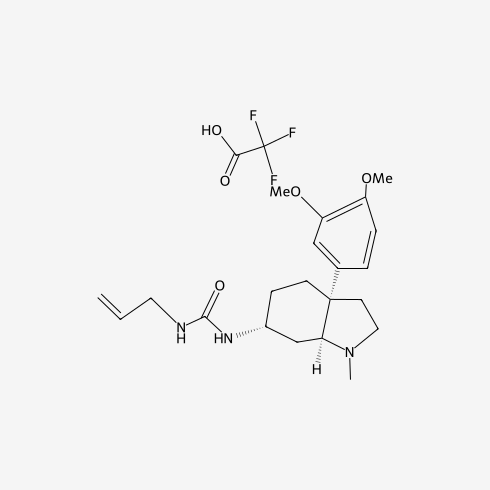 C=CCNC(=O)N[C@@H]1CC[C@@]2(c3ccc(OC)c(OC)c3)CCN(C)[C@H]2C1.O=C(O)C(F)(F)F